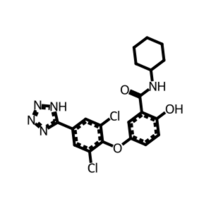 O=C(NC1CCCCC1)c1cc(Oc2c(Cl)cc(-c3nnn[nH]3)cc2Cl)ccc1O